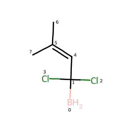 BC(Cl)(Cl)C=C(C)C